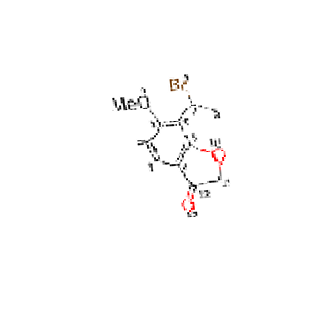 COc1ccc2c(c1C(C)Br)OCC2=O